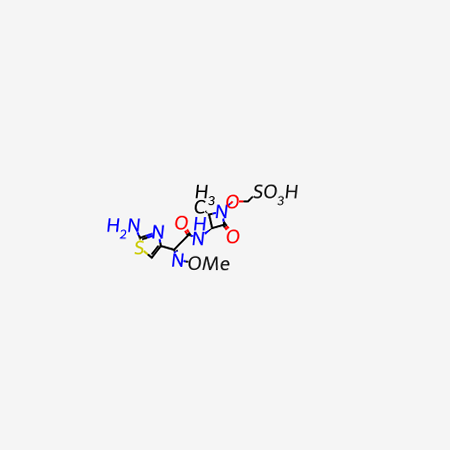 CO/N=C(\C(=O)N[C@@H]1C(=O)N(OCS(=O)(=O)O)[C@H]1C)c1csc(N)n1